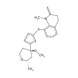 CO[C@]1(c2ccc(Sc3cccc4c3N(C)C(=S)CC4)s2)CCO[C@@H](C)C1